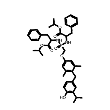 Cc1cc(OCP(=O)(NC(Cc2ccccc2)C(=O)OC(C)C)NC(Cc2ccccc2)C(=O)OC(C)C)cc(C)c1Cc1ccc(O)c(C(C)C)c1